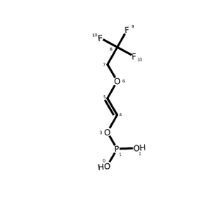 OP(O)OC=COCC(F)(F)F